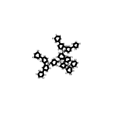 c1ccc(-c2ccc3c(c2)c2cc(-c4ccccc4)ccc2n3-c2ccc(N(c3ccc(-n4c5ccc(-c6ccccc6)cc5c5cc(-c6ccccc6)ccc54)cc3)c3cccc([Si](c4ccccc4)(c4ccccc4)c4ccccc4)c3)cc2)cc1